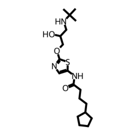 CC(C)(C)NCC(O)COc1ncc(NC(=O)CCCC2CCCC2)s1